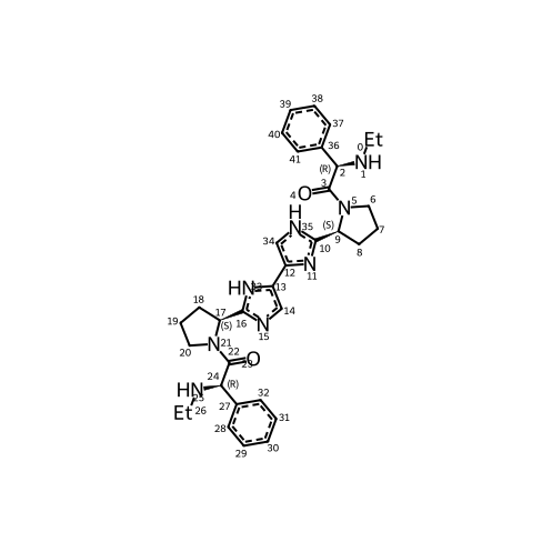 CCN[C@@H](C(=O)N1CCC[C@H]1c1nc(-c2cnc([C@@H]3CCCN3C(=O)[C@H](NCC)c3ccccc3)[nH]2)c[nH]1)c1ccccc1